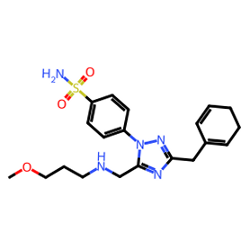 COCCCNCc1nc(CC2=CCCC=C2)nn1-c1ccc(S(N)(=O)=O)cc1